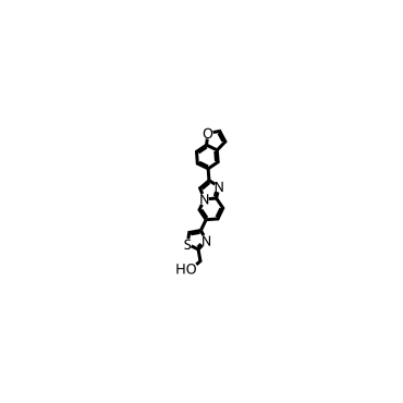 OCc1nc(-c2ccc3nc(-c4ccc5occc5c4)cn3c2)cs1